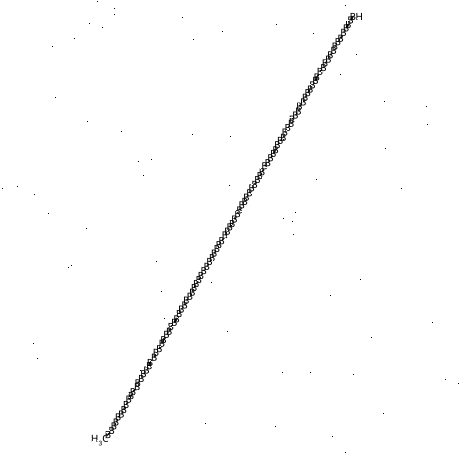 B=BB=BB=BB=BB=BB=BB=BB=BB=BB=BB=BB=BB=BB=BB=BB=BB=BB=BB=BB=BB=BB=BB=BB=BB=BB=BB=BB=BB=BB=BB=BB=BB=BB=BB=BB=BB=BB=BB=BB=BB=BB=BB=BB=BB=BB=BB=BB=BB=BC